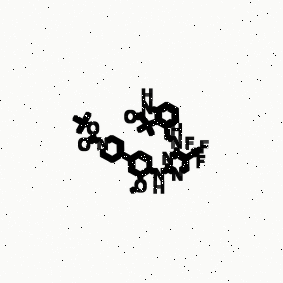 COC1C=C(C2=CCN(C(=O)OC(C)(C)C)CC2)C=CC1Nc1ncc(C(F)(F)F)c(NCc2cccc3c2C(C)(C)C(=O)N3)n1